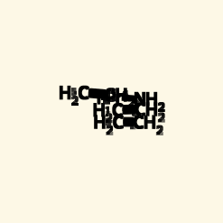 C=C.C=C.C=C.CCCN